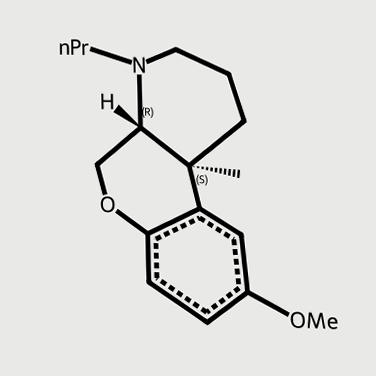 CCCN1CCC[C@@]2(C)c3cc(OC)ccc3OC[C@H]12